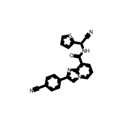 N#Cc1ccc(-c2cn3cccc(C(=O)NC(C#N)c4cccs4)c3n2)cc1